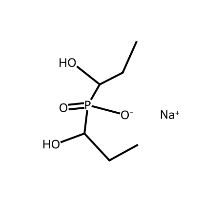 CCC(O)P(=O)([O-])C(O)CC.[Na+]